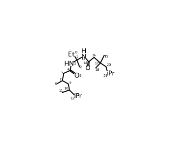 CCC(C)(NC(=O)CC(C)CC(C)C(C)C)NC(=O)CC(C)(C)CC(C)C